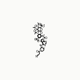 COC(=O)[C@H]1O[C@@H](Oc2ccc([N+](=O)[O-])cc2N(C)C(=O)n2ccc3c(N(C)[C@H]4CN(C(=O)CC#N)CC[C@H]4C)ncnc32)[C@H](OC(C)=O)[C@@H](OC(C)=O)[C@@H]1OC(C)=O